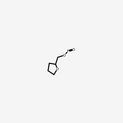 O=POCC1CCCO1